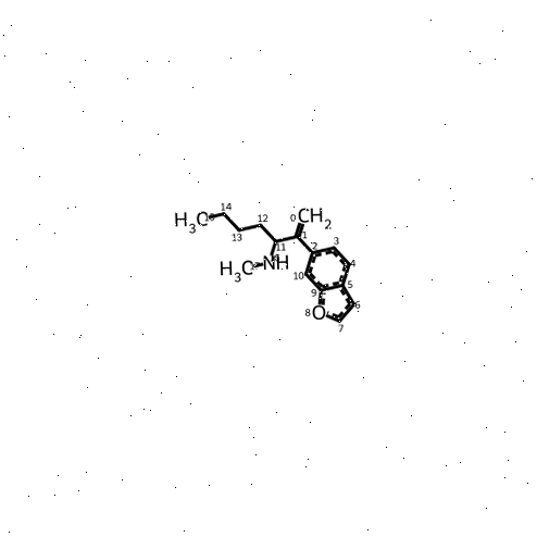 C=C(c1ccc2ccoc2c1)C(CCCC)NC